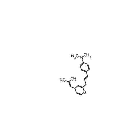 CN(C)c1ccc(C=CCC2=CC(C=C(C#N)C#N)C=CO2)cc1